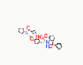 O=C(c1ccccc1)c1ccccc1NC(Cc1ccc(OCCN(C(=O)C2CCC2)c2ccccc2)cc1)C(=O)O